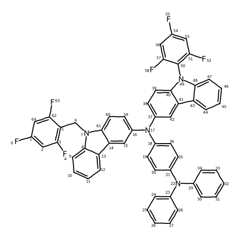 Fc1cc(F)c(Cn2c3ccccc3c3cc(N(c4ccc(N(c5ccccc5)c5ccccc5)cc4)c4ccc5c(c4)c4ccccc4n5-c4c(F)cc(F)cc4F)ccc32)c(F)c1